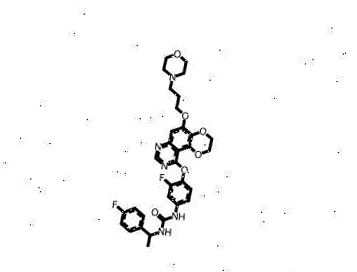 CC(NC(=O)Nc1ccc(Oc2ncnc3cc(OCCCN4CCOCC4)c4c(c23)OCCO4)c(F)c1)c1ccc(F)cc1